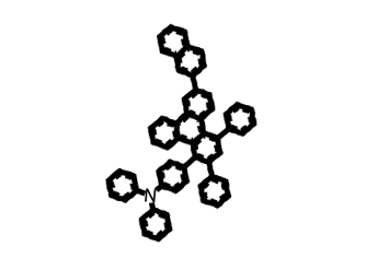 c1ccc(-c2cc(-c3ccccc3)c3c4ccc(-c5ccc6ccccc6c5)cc4c4ccccc4c3c2-c2ccc(N(c3ccccc3)c3ccccc3)cc2)cc1